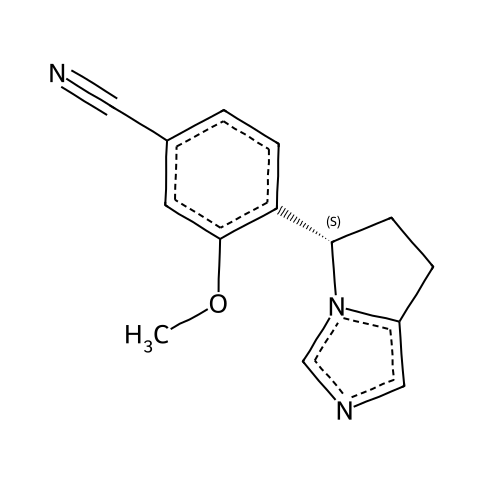 COc1cc(C#N)ccc1[C@@H]1CCc2cncn21